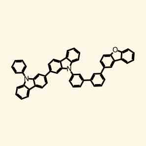 c1ccc(-n2c3ccccc3c3ccc(-c4ccc5c6ccccc6n(-c6cccc(-c7cccc(-c8ccc9oc%10ccccc%10c9c8)c7)c6)c5c4)cc32)cc1